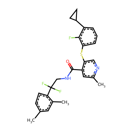 Cc1ccc(C(F)(F)CNC(=O)c2cc(C)ncc2Sc2cccc(C3CC3)c2F)c(C)c1